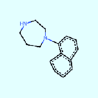 c1ccc2c(N3CCCNCC3)cccc2c1